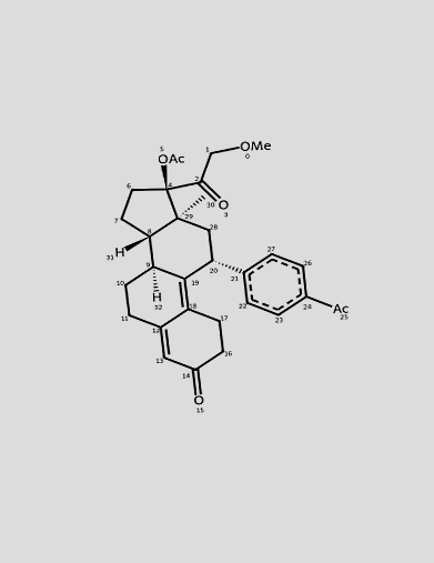 COCC(=O)[C@@]1(OC(C)=O)CC[C@H]2[C@@H]3CCC4=CC(=O)CCC4=C3[C@@H](c3ccc(C(C)=O)cc3)C[C@@]21C